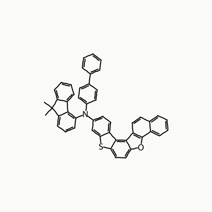 CC1(C)c2ccccc2-c2c(N(c3ccc(-c4ccccc4)cc3)c3ccc4c(c3)sc3ccc5oc6c7ccccc7ccc6c5c34)cccc21